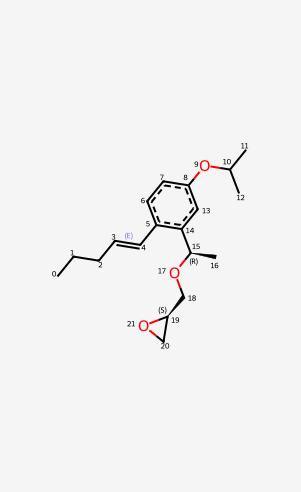 CCC/C=C/c1ccc(OC(C)C)cc1[C@@H](C)OC[C@H]1CO1